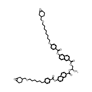 CC(COC(=O)c1ccc2cc(OC(=O)c3ccc(OCCCCCCCCOCC4CCC5OC5C4)cc3)ccc2c1)OC(=O)c1ccc2cc(OC(=O)c3ccc(CCCCCCOCC4CCC5OC5C4)cc3)ccc2c1